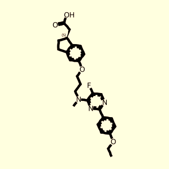 CCOc1ccc(-c2ncc(F)c(N(C)CCCOc3ccc4c(c3)CC[C@H]4CC(=O)O)n2)cc1